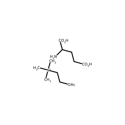 CC(=O)OCC[N+](C)(C)C.NC(CCC(=O)O)C(=O)O